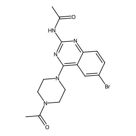 CC(=O)Nc1nc(N2CCN(C(C)=O)CC2)c2cc(Br)ccc2n1